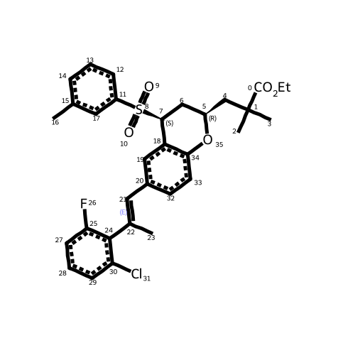 CCOC(=O)C(C)(C)C[C@@H]1C[C@H](S(=O)(=O)c2cccc(C)c2)c2cc(/C=C(\C)c3c(F)cccc3Cl)ccc2O1